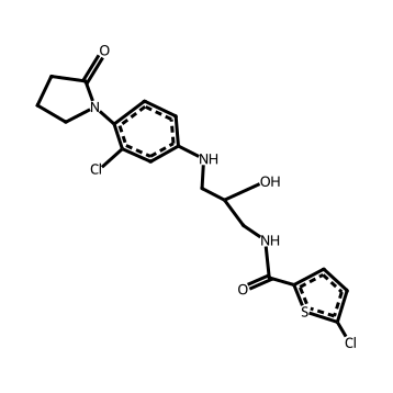 O=C(NCC(O)CNc1ccc(N2CCCC2=O)c(Cl)c1)c1ccc(Cl)s1